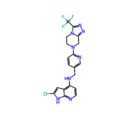 FC(F)(F)c1nnc2n1CCN(c1ccc(CNc3ccnc4[nH]c(Cl)cc34)cn1)C2